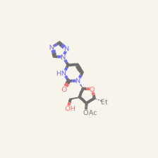 CC[C@H]1O[C@@H](N2C=CC(n3cncn3)NC2=O)[C@H](CO)C1OC(C)=O